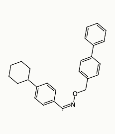 [C](=N/OCc1ccc(-c2ccccc2)cc1)/c1ccc(C2CCCCC2)cc1